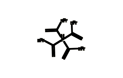 C=C(CCC)[PH](C(=C)CCC)(C(=C)CCC)C(=C)CCC